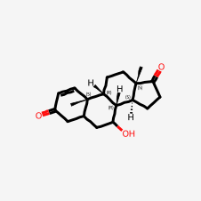 C[C@]12C=CC(=O)CC1CC(O)[C@@H]1[C@H]2CC[C@]2(C)C(=O)CC[C@@H]12